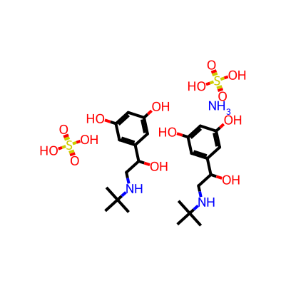 CC(C)(C)NCC(O)c1cc(O)cc(O)c1.CC(C)(C)NCC(O)c1cc(O)cc(O)c1.N.O=S(=O)(O)O.O=S(=O)(O)O